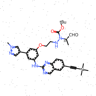 C[C@H](C=O)N(NCCOc1cc(Nc2ncc3cc(C#C[Si](C)(C)C)ccc3n2)cc(-c2cnn(C)c2)c1)C(=O)OC(C)(C)C